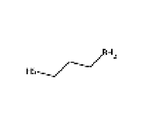 BCCCS